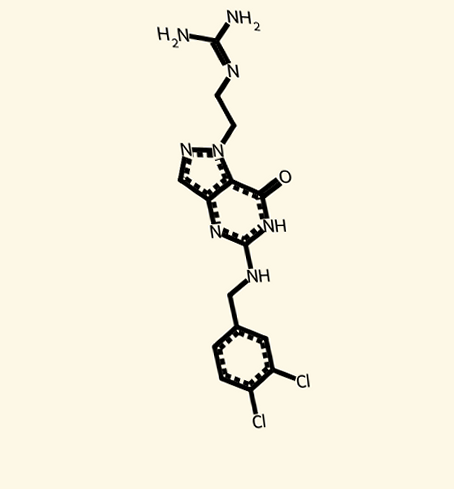 NC(N)=NCCn1ncc2nc(NCc3ccc(Cl)c(Cl)c3)[nH]c(=O)c21